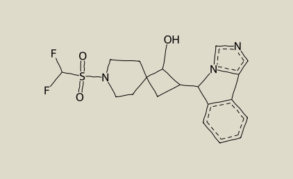 O=S(=O)(C(F)F)N1CCC2(CC1)CC(C1c3ccccc3-c3cncn31)C2O